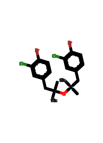 CC(C)(C)[Si](C)(Cc1ccc(Br)c(Cl)c1)O[Si](C)(Cc1ccc(Br)c(Cl)c1)C(C)(C)C